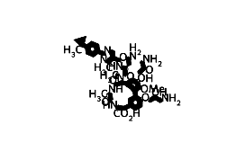 COc1c(OC[C@H](O)CN)cc2cc1-c1cc(ccc1OC[C@H](O)CN)C[C@@H](C(=O)O)NC(=O)[C@H](C)NC(=O)[C@H]2N(C)C(=O)[C@H](CCN)NC(=O)c1cnc(-c2ccc(C3(C)CC3)cc2)nc1C